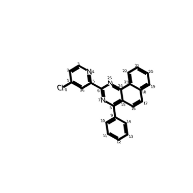 Clc1ccnc(-c2nc(-c3ccccc3)c3ccc4ccccc4c3n2)c1